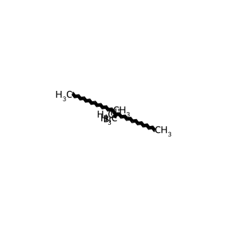 CCCCCCCCCCCCCCCC[N+](C)(C)C(C)CCCCCCCCCCCCCCC.[Br-]